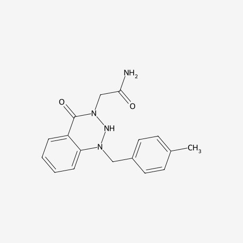 Cc1ccc(CN2NN(CC(N)=O)C(=O)c3ccccc32)cc1